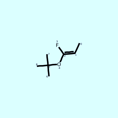 CC=C(F)OC(C)(C)C